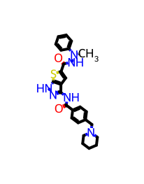 CN(NC(=O)c1cc2c(NC(=O)c3ccc(CN4CCCCC4)cc3)n[nH]c2s1)c1ccccc1